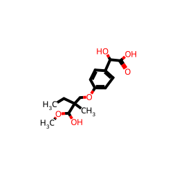 CCC(C)(COc1ccc(C(O)C(=O)O)cc1)C(O)OC